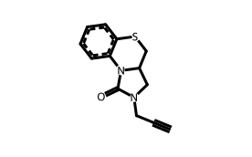 C#CCN1CC2CSc3ccccc3N2C1=O